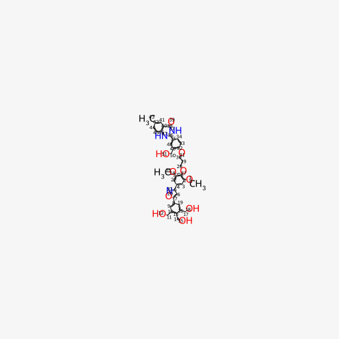 COc1cc(-c2cc(-c3cc(CO)c(CO)c(CO)c3)on2)cc(OC)c1OCCCOc1ccc(C2NC(=O)c3cc(C)ccc3N2)cc1CO